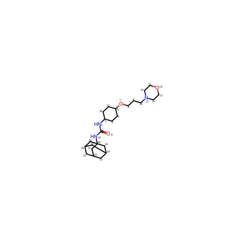 O=C(NC1CCC(OCCCN2CCOCC2)CC1)NC12CC3CC(CC(C3)C1)C2